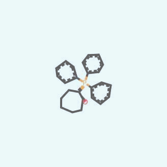 O=C1CCCCCC1=P(c1ccccc1)(c1ccccc1)c1ccccc1